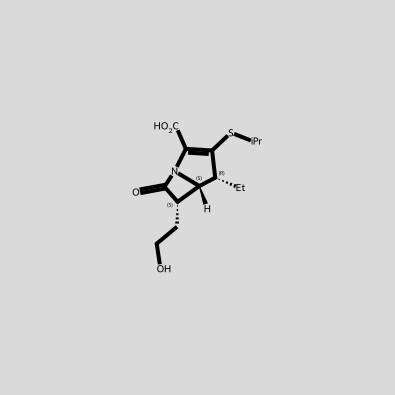 CC[C@H]1C(SC(C)C)=C(C(=O)O)N2C(=O)[C@@H](CCO)[C@@H]12